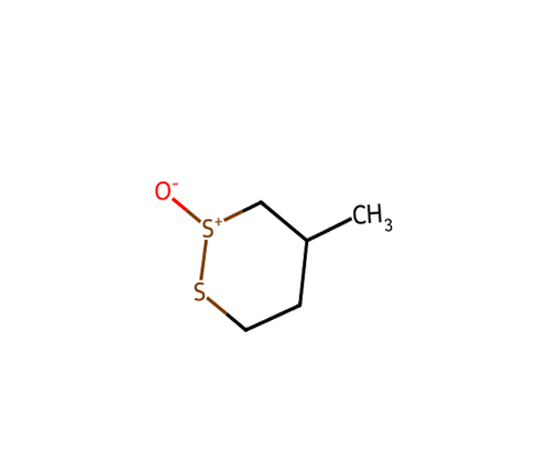 CC1CCS[S+]([O-])C1